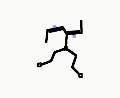 C/C=C\C(=C/C)N(CCCl)CCCl